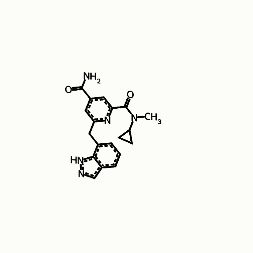 CN(C(=O)c1cc(C(N)=O)cc(Cc2cccc3cn[nH]c23)n1)C1CC1